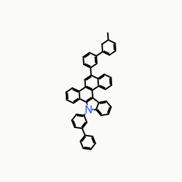 CC1C=CC=C(c2cccc(-c3cc4c5ccccc5c5c(c6ccccc6n5-c5cccc(-c6ccccc6)c5)c4c4ccccc34)c2)C1